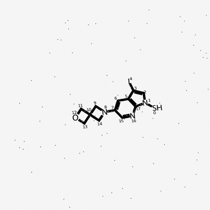 Sn1cc(I)c2cc(N3CC4(COC4)C3)cnc21